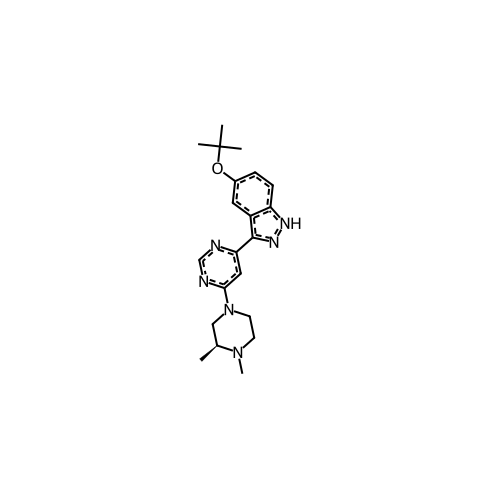 C[C@H]1CN(c2cc(-c3n[nH]c4ccc(OC(C)(C)C)cc34)ncn2)CCN1C